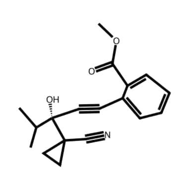 COC(=O)c1ccccc1C#C[C@](O)(C(C)C)C1(C#N)CC1